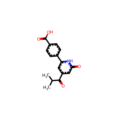 CC(C)C(=O)c1cc(-c2ccc(C(=O)O)cc2)[nH]c(=O)c1